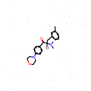 CCC(Cc1cccc(C)c1)(C(=O)c1ccc(N2CCOCC2)cc1)N(C)C